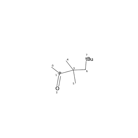 C[P](=O)C(C)(C)CC(C)(C)C